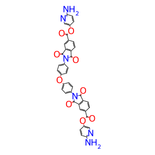 Nc1ccc(OC(=O)c2ccc3c(c2)C(=O)N(c2ccc(Oc4ccc(N5C(=O)c6ccc(C(=O)Oc7ccc(N)nc7)cc6C5=O)cc4)cc2)C3=O)cn1